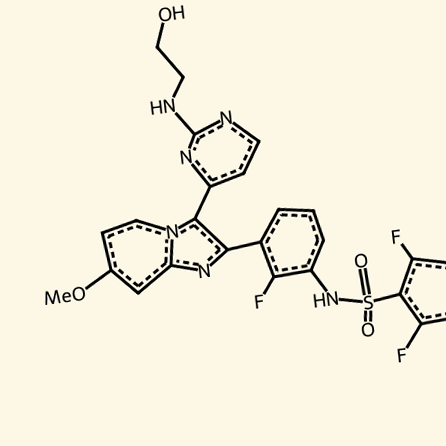 COc1ccn2c(-c3ccnc(NCCO)n3)c(-c3cccc(NS(=O)(=O)c4c(F)ccc(C)c4F)c3F)nc2c1